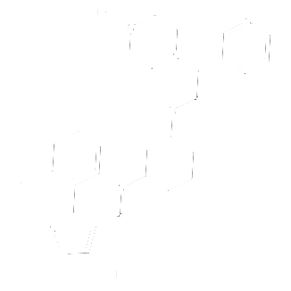 Cc1onc2c1c(=O)n(C1CCCC(NC(=O)C(c3cccnc3)N3CCN(C)CC3)C1)c1cccc(Cl)c21